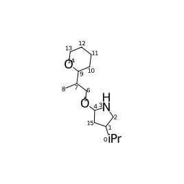 CC(C)C1CNC(OCC(C)C2CCCCO2)C1